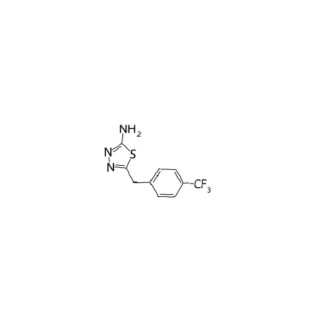 Nc1nnc(Cc2ccc(C(F)(F)F)cc2)s1